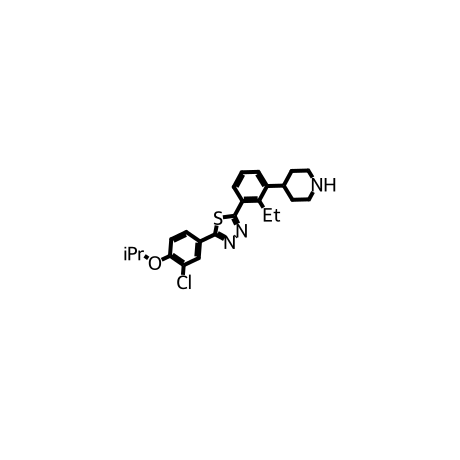 CCc1c(-c2nnc(-c3ccc(OC(C)C)c(Cl)c3)s2)cccc1C1CCNCC1